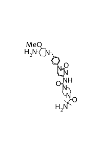 CO[C@H]1CN(Cc2ccc(-n3ccc(NC(=O)N4CCN(C(=O)C(C)(C)N)CC4)nc3=O)cc2)CC[C@H]1N